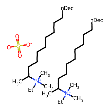 CCCCCCCCCCCCCCCCCCC(C)[N+](C)(C)CC.CCCCCCCCCCCCCCCCCCC(C)[N+](C)(C)CC.O=S(=O)([O-])[O-]